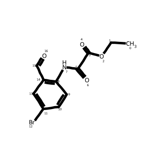 CCOC(=O)C(=O)Nc1ccc(Br)cc1C=O